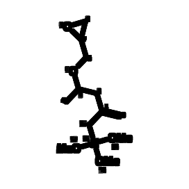 C=C(CC(C)OCC1CO1)C[Si](OC)(OC)OC